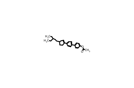 CCC(CC)CCC1CC=C(c2ccc(-c3ccc(OC(C)=O)cc3)cc2)CC1